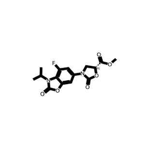 COC(=O)[C@H]1CN(c2cc(F)c3c(c2)oc(=O)n3C(C)C)C(=O)O1